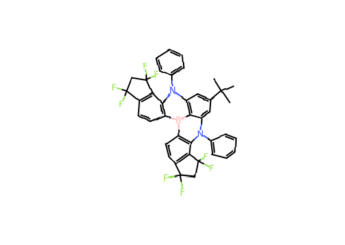 CC(C)(C)c1cc2c3c(c1)N(c1ccccc1)c1c(ccc4c1C(F)(F)CC4(F)F)B3c1ccc3c(c1N2c1ccccc1)C(F)(F)CC3(F)F